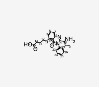 CC[C@H](N)c1nc2cccc(CCCCC(=O)O)c2c(=O)n1-c1ccccc1